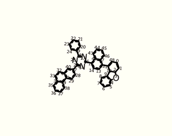 C1=CC2Oc3ccccc3C2C(c2ccc(-c3nc(-c4ccccc4)nc(-c4ccc5c(ccc6ccccc65)c4)n3)c3ccccc23)=C1